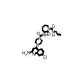 C=CCNC(=O)N1CCCC[C@H](NC(=O)N2CCN(c3cc(N)nc4cc(Cl)ccc34)CC2)C1=O